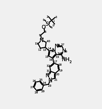 CC(C)(C)[Si](C)(C)OCCN1CCC(c2cc(-c3ccc4cn(Cc5ccccc5)nc4c3)c3c(N)ncnn23)C1